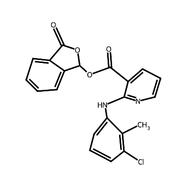 Cc1c(Cl)cccc1Nc1ncccc1C(=O)OC1OC(=O)c2ccccc21